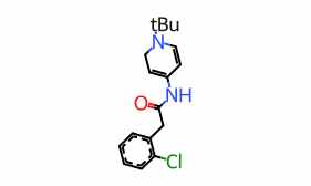 CC(C)(C)N1C=CC(NC(=O)Cc2ccccc2Cl)=CC1